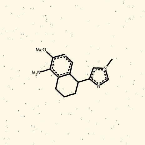 COc1ccc2c(c1N)CCCC2c1cn(C)cn1